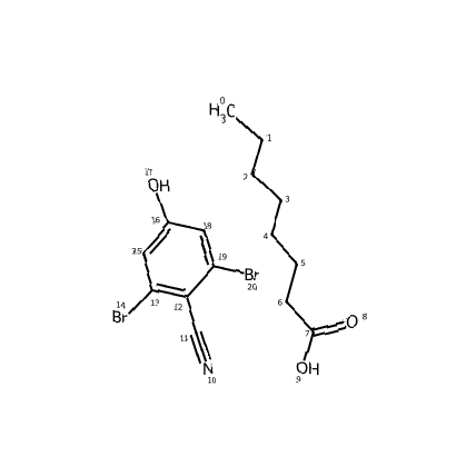 CCCCCCCC(=O)O.N#Cc1c(Br)cc(O)cc1Br